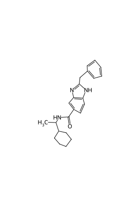 CC(NC(=O)c1ccc2[nH]c(Cc3ccccc3)nc2c1)C1CCCCC1